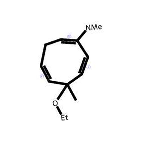 CCOC1(C)/C=C\C/C=C(NC)\C=C/1